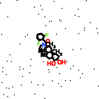 C[C@]12CC[C@H](O)C(O)C1CC[C@@H]1C2CC[C@@]2(C)C1[C@@H]1C[C@@H]1CN2C(=O)c1c(F)cccc1F